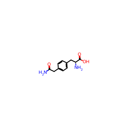 NC(=O)Cc1ccc(C[C@H](N)C(=O)O)cc1